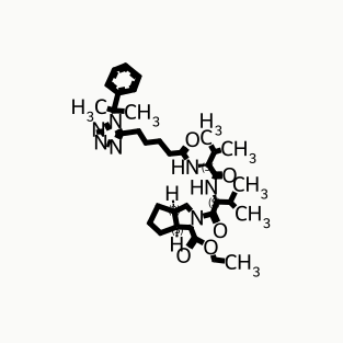 CCOC(=O)C1[C@H]2CCC[C@H]2CN1C(=O)[C@@H](NC(=O)[C@@H](NC(=O)CCCCc1nnnn1C(C)(C)c1ccccc1)C(C)C)C(C)C